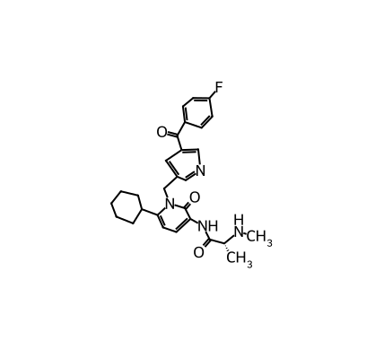 CN[C@H](C)C(=O)Nc1ccc(C2CCCCC2)n(Cc2cncc(C(=O)c3ccc(F)cc3)c2)c1=O